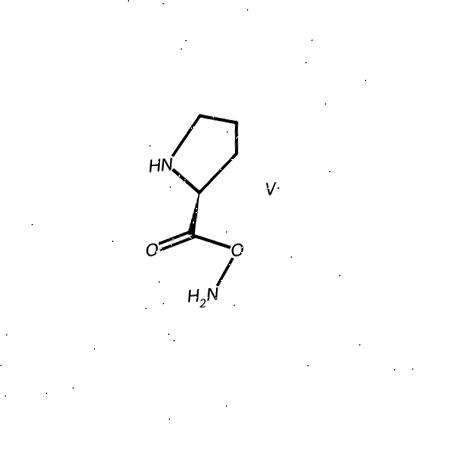 NOC(=O)[C@@H]1CCCN1.[V]